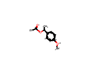 CCC(=O)OC(C)c1ccc(OC(C)CC)cc1